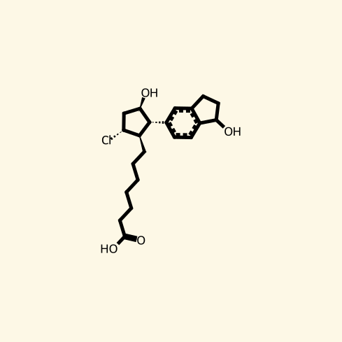 O=C(O)CCCCCC[C@@H]1[C@@H](c2ccc3c(c2)CCC3O)[C@H](O)C[C@H]1Cl